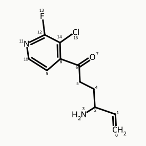 C=CC(N)CCC(=O)c1ccnc(F)c1Cl